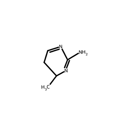 CC1CC=NC(N)=N1